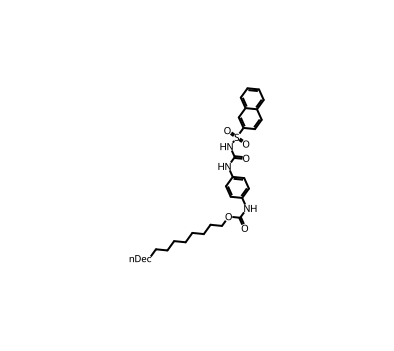 CCCCCCCCCCCCCCCCCCOC(=O)Nc1ccc(NC(=O)NS(=O)(=O)c2ccc3ccccc3c2)cc1